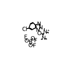 CN(C)C(On1nnc2ccc(Cl)cc21)=[N+](C)C.FOB(OF)OF